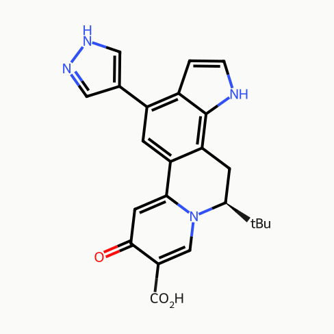 CC(C)(C)[C@@H]1Cc2c(cc(-c3cn[nH]c3)c3cc[nH]c23)-c2cc(=O)c(C(=O)O)cn21